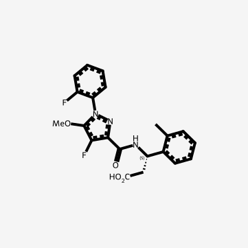 COc1c(F)c(C(=O)N[C@@H](CC(=O)O)c2ccccc2C)nn1-c1ccccc1F